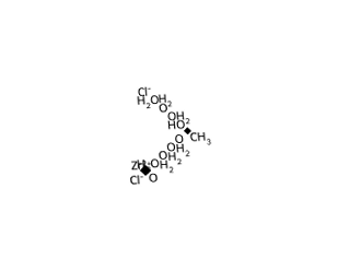 CO.O.O.O.O.O.O.O.[Cl-].[Cl-].[O]=[Zr+2]